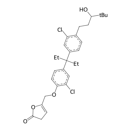 CCC(CC)(c1ccc(CCC(O)C(C)(C)C)c(Cl)c1)c1ccc(OCC2=CCC(=O)O2)c(Cl)c1